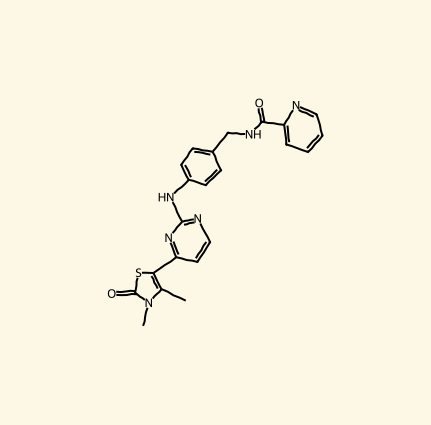 Cc1c(-c2ccnc(Nc3ccc(CNC(=O)c4ccccn4)cc3)n2)sc(=O)n1C